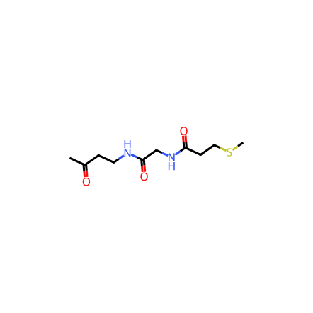 CSCCC(=O)NCC(=O)NCCC(C)=O